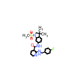 CC1(C)CN(S(C)(=O)=O)c2cc(NC(=O)c3cccnc3NCc3ccc(F)cc3)ccc21